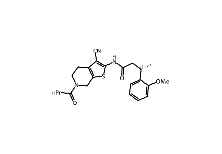 CCCC(=O)N1CCc2c(sc(NC(=O)C[C@H](C)c3ccccc3OC)c2C#N)C1